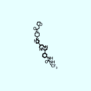 O=C(NCC(F)(F)F)Nc1cccc(-c2cnc3cc(-c4cnn(C5CCN(C(=O)CC6CCCO6)CC5)c4)cnn23)c1